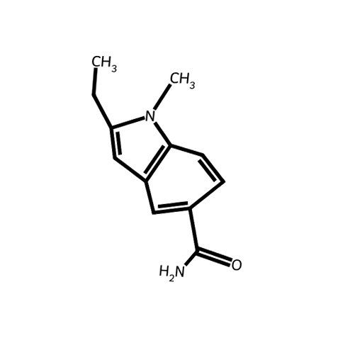 CCc1cc2cc(C(N)=O)ccc2n1C